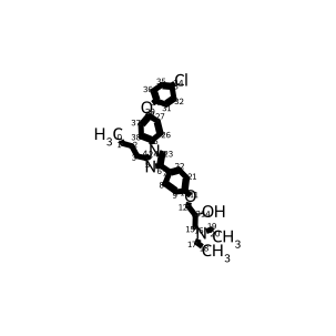 CCCCc1nc(-c2ccc(OC[C@H](O)CN(CC)CC)cc2)cn1-c1ccc(Oc2ccc(Cl)cc2)cc1